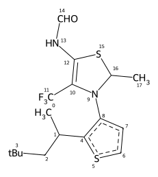 CC(CC(C)(C)C)c1sccc1N1C(C(F)(F)F)=C(NC=O)SC1C